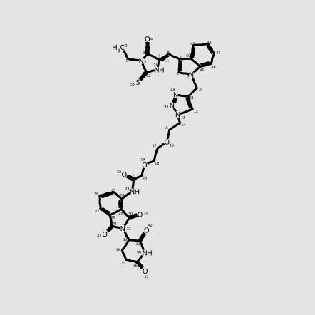 CCN1C(=O)/C(=C/c2cn(Cc3cn(CCOCCOCC(=O)Nc4cccc5c4C(=O)N(C4CCC(=O)NC4=O)C5=O)nn3)c3ccccc23)NC1=S